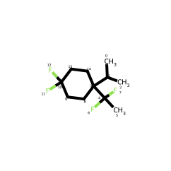 CC(C)C1(C(C)(F)F)CCC(F)(F)CC1